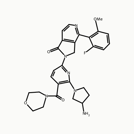 COc1cccc(F)c1-c1nccc2c1CN(c1ccc(C(=O)N3CCOCC3)c(N3CCC(N)C3)n1)C2=O